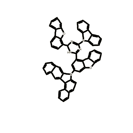 c1ccc2cc3c(cc2c1)c1c2ccccc2ccc1n3-c1cc(C2=NC(n3c4ccccc4c4ccccc43)=NC(c3cccc4c3oc3ccccc34)N2)c2c(c1)oc1ccccc12